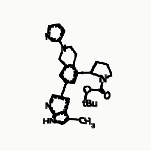 Cc1c[nH]c2ncc(-c3cc4c(c(C5CCCN5C(=O)OC(C)(C)C)c3)CCN(c3cccnc3)C4)cc12